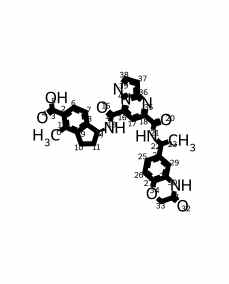 Cc1c(C(=O)O)ccc2c1CC[C@@H]2NC(=O)c1cc(C(=O)NC(C)c2ccc3c(c2)NC(=O)CO3)nc2ccnn12